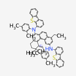 CCc1cc(Nc2cccc3c2sc2ccccc23)cc2c1ccc1c(N(c3ccc(C)cc3C)c3cccc4c3sc3ccccc34)cc3c(c12)/C(=C/c1ccc(C)cc1C)C(C)(C)CC3